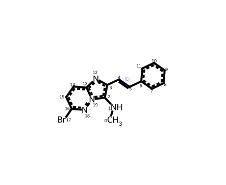 CNc1c(/C=C/c2ccccc2)nc2ccc(Br)nn12